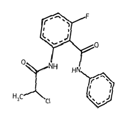 CC(Cl)C(=O)Nc1cccc(F)c1C(=O)Nc1ccccc1